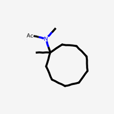 CC(=O)N(C)C1(C)CCCCCCCC1